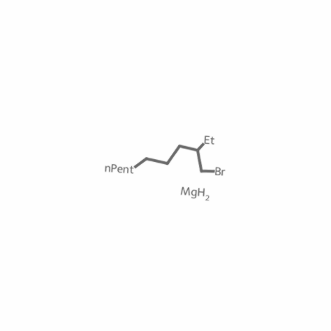 CCCCCCCCC(CC)CBr.[MgH2]